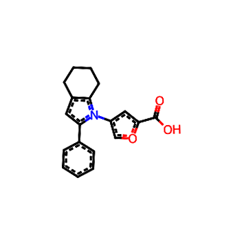 O=C(O)c1cc(-n2c(-c3ccccc3)cc3c2CCCC3)co1